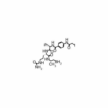 BC[C@H](C)NC(=O)[C@H](CCCNC(N)=O)NC(=O)C(NC(=O)c1ccc(NC(=O)CI)cc1)C(C)C